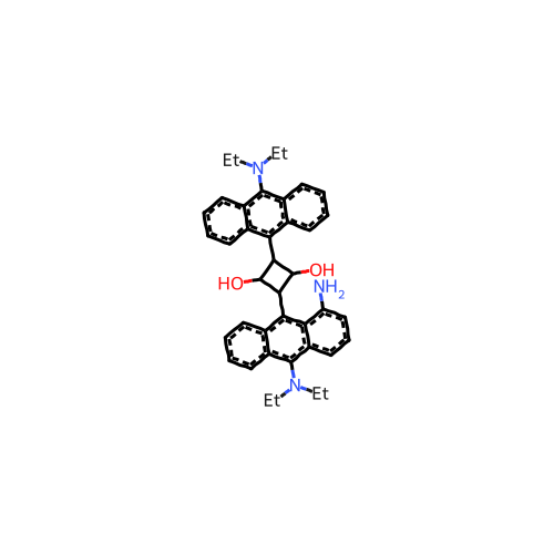 CCN(CC)c1c2ccccc2c(C2C(O)C(c3c4ccccc4c(N(CC)CC)c4cccc(N)c34)C2O)c2ccccc12